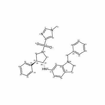 Cn1cnc(S(=O)(=O)N2C[C@H](Nc3ccc4c(c3)N(Cc3ccccc3)CC4)[C@@H](c3ccccc3)C2)c1